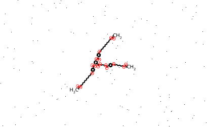 C=CC(=O)OCCCCCCCCCCCOc1ccc(C(=O)Oc2ccc(OC(=O)c3ccc(OCCCCCCCCCCCOC(=O)C=C)cc3)c(C(=O)OCCCOC(=O)c3ccc(OCCCCCCOC(=O)C=C)cc3)c2)cc1